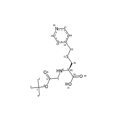 CC(C)(C)OC(=O)CN[C@@H](CSCc1ccncc1)C(=O)O